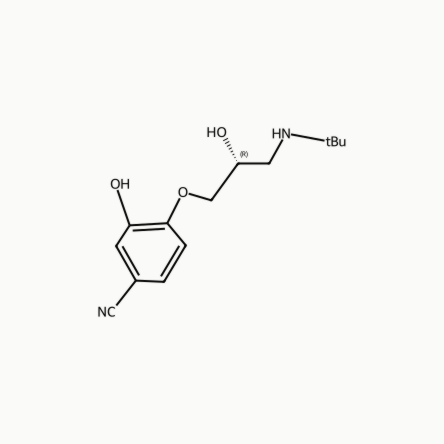 CC(C)(C)NC[C@@H](O)COc1ccc(C#N)cc1O